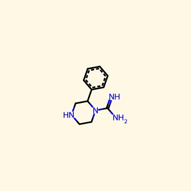 N=C(N)N1CCNCC1c1ccccc1